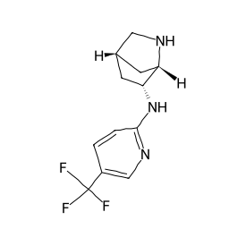 FC(F)(F)c1ccc(N[C@@H]2C[C@@H]3CN[C@H]2C3)nc1